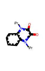 CC(C)n1c(=O)c(=O)n(C(C)C)c2ccccc21